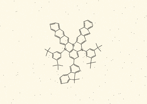 CC(C)(C)c1cc(N2c3cc4cc5ccccc5cc4cc3B3c4cc5cc6ccccc6cc5cc4N(c4cc(C(C)(C)C)cc(C(C)(C)C)c4)c4cc(-c5ccc6c(c5)-c5ccccc5C6(C)C)cc2c43)cc(C(C)(C)C)c1